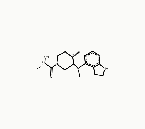 C[C@H](O)C(=O)N1CC[C@@H](C)C(N(C)c2ccnc3c2CCN3)C1